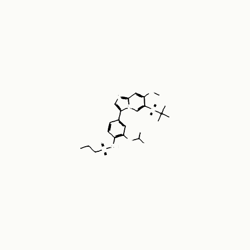 CCCS(=O)(=O)Nc1ccc(-c2cnc3cc(OC)c(S(=O)(=O)C(C)(C)C)cn23)cc1OC(F)F